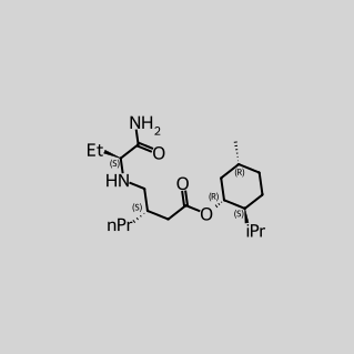 CCC[C@H](CN[C@@H](CC)C(N)=O)CC(=O)O[C@@H]1C[C@H](C)CC[C@H]1C(C)C